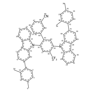 Cc1ccc(-c2ccc3c4ccccc4n(-c4cc(C(F)(F)F)c(-n5c6ccccc6c6ccc(-c7ccc(C)cc7C)cc65)cc4-c4cccc(C#N)c4)c3c2)c(C)c1